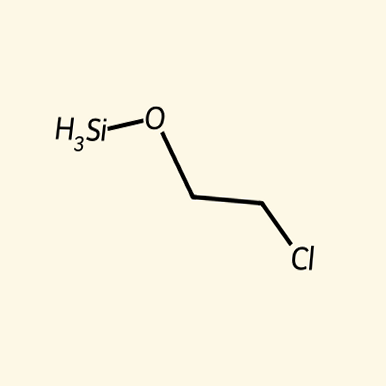 [SiH3]OCCCl